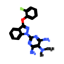 CC(C)N(C(=O)O)c1c(N)nc(-n2nc(Oc3ccccc3F)c3ccccc32)nc1N